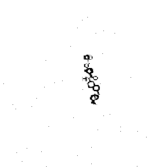 O=C(N[C@H]1CCc2cc(CN3C4CCC3C3(CC3)C4)ccc2C1)c1ccc(OC[C@@H]2CCCO2)cc1